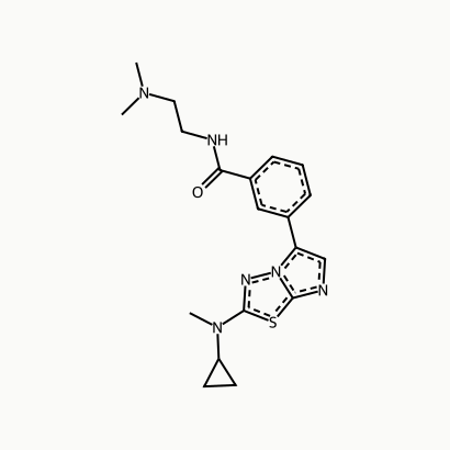 CN(C)CCNC(=O)c1cccc(-c2cnc3sc(N(C)C4CC4)nn23)c1